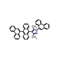 Cc1nn(-c2cc3ccccc3c3ccccc23)c(C)c1-c1c2ccccc2c(-c2cc3ccccc3c3ccccc23)c2ccccc12